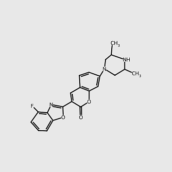 CC1CN(c2ccc3cc(-c4nc5c(F)cccc5o4)c(=O)oc3c2)CC(C)N1